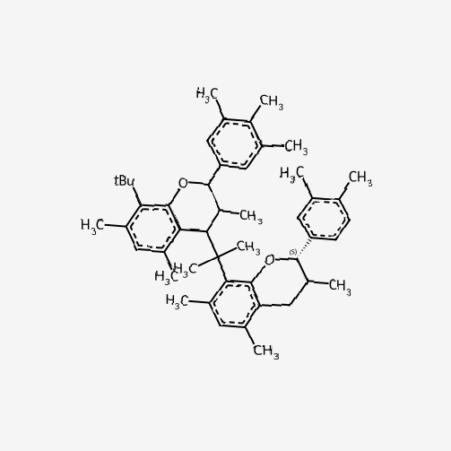 Cc1ccc([C@H]2Oc3c(c(C)cc(C)c3C(C)(C)C3c4c(C)cc(C)c(C(C)(C)C)c4OC(c4cc(C)c(C)c(C)c4)C3C)CC2C)cc1C